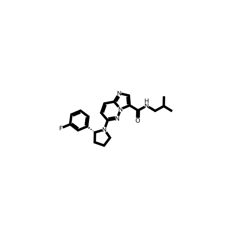 CC(C)CNC(=O)c1cnc2ccc(N3CCC[C@@H]3c3cccc(F)c3)nn12